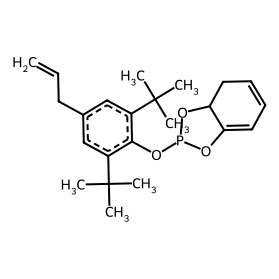 C=CCc1cc(C(C)(C)C)c(OP2OC3=CC=CCC3O2)c(C(C)(C)C)c1